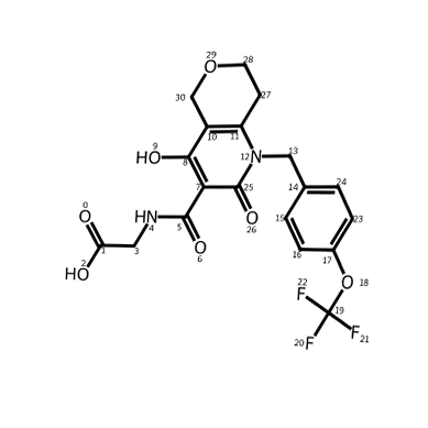 O=C(O)CNC(=O)c1c(O)c2c(n(Cc3ccc(OC(F)(F)F)cc3)c1=O)CCOC2